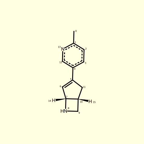 Cc1ccc(C2=C[C@H]3NC[C@H]3C2)cn1